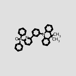 CC1(C)c2ccccc2N(c2cccc(-c3cccc(P(=O)(c4ccccc4)c4ccccc4)n3)c2)c2ccccc21